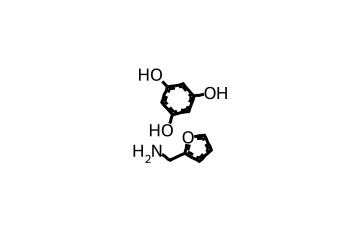 NCc1ccco1.Oc1cc(O)cc(O)c1